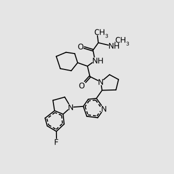 CNC(C)C(=O)NC(C(=O)N1CCCC1c1cc(N2CCc3ccc(F)cc32)ccn1)C1CCCCC1